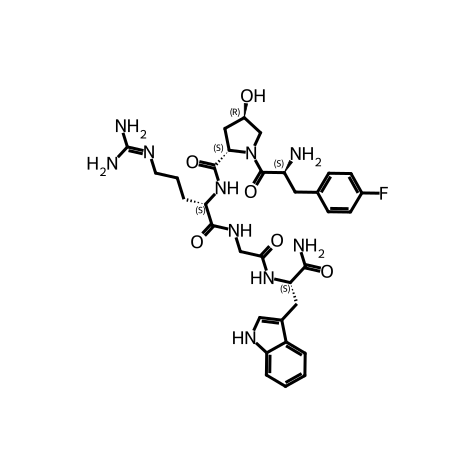 NC(=O)[C@H](Cc1c[nH]c2ccccc12)NC(=O)CNC(=O)[C@H](CCCN=C(N)N)NC(=O)[C@@H]1C[C@@H](O)CN1C(=O)[C@@H](N)Cc1ccc(F)cc1